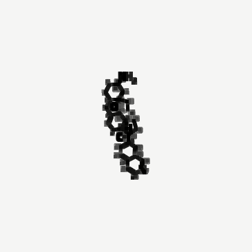 C[C@]12CC=C3C=C4CC[C@@H](N)C[C@]45CC[C@]3(O5)[C@@H]1CC[C@@H]2c1ccc2ccncc2c1